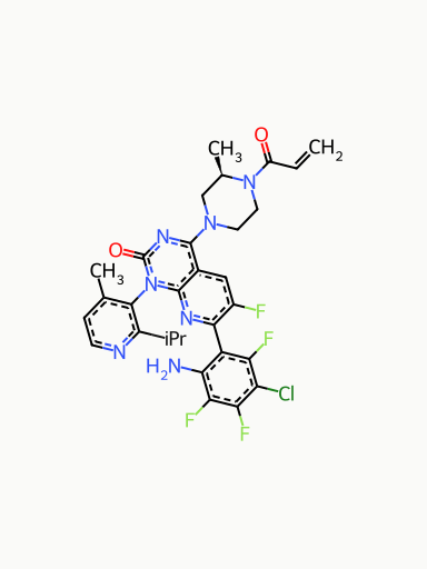 C=CC(=O)N1CCN(c2nc(=O)n(-c3c(C)ccnc3C(C)C)c3nc(-c4c(N)c(F)c(F)c(Cl)c4F)c(F)cc23)C[C@H]1C